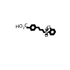 O=C(O)Cc1ccc(CCCCS(=O)(=O)c2ccccc2Cl)cc1